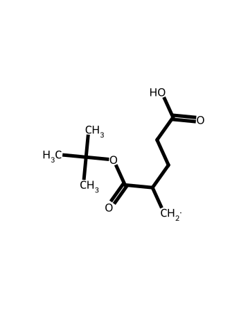 [CH2]C(CCC(=O)O)C(=O)OC(C)(C)C